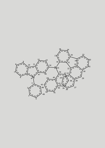 c1ccc(-n2c3ccccc3c3ccc(N(c4cccc5c4-c4c6ccccc6cc6cccc-5c46)c4cccc5ccccc45)cc32)cc1